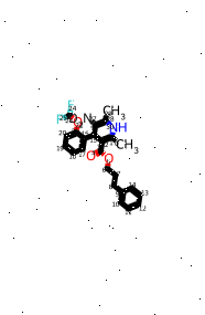 CC1=C(C(=O)OCCCc2ccccc2)C(c2ccccc2OC(F)F)C([N+](=O)[O-])=C(C)N1